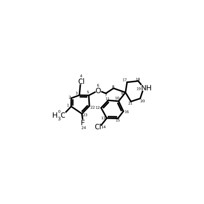 Cc1cc(Cl)c(OCCC2(c3ccc(Cl)cc3)CCNCC2)cc1F